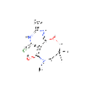 CCN1CC(C)(C)COc2nc(SC)nc(Cl)c2C1=O